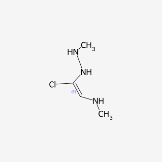 CN/C=C(/Cl)NNC